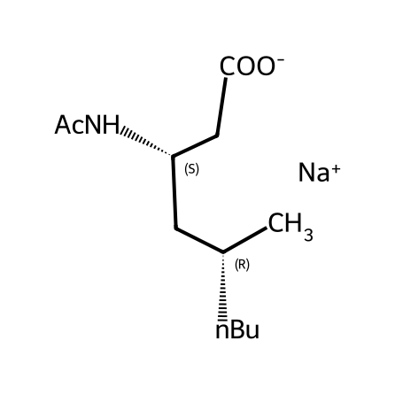 CCCC[C@@H](C)C[C@@H](CC(=O)[O-])NC(C)=O.[Na+]